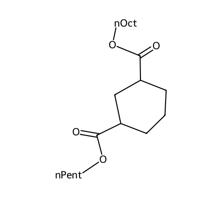 CCCCCCCCOC(=O)C1CCCC(C(=O)OCCCCC)C1